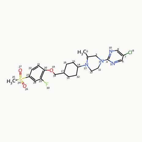 CC1CN(c2ncc(Cl)cn2)CCN1C1CCC(COc2ccc(S(C)(=O)=O)cc2F)CC1